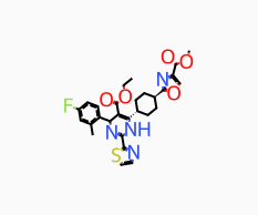 CCOC(=O)C1=C([C@H]2CC[C@H](c3nc(C(=O)OC)co3)CC2)NC(c2nccs2)=NC1c1ccc(F)cc1C